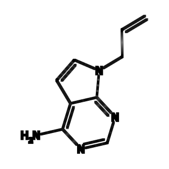 C=CCn1ccc2c(N)ncnc21